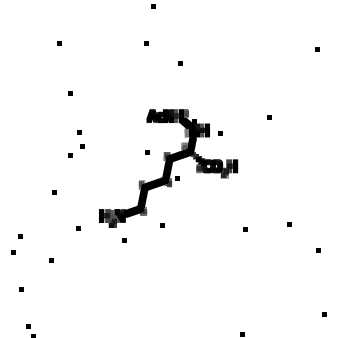 CC(=O)NN[C@@H](CCCCN)C(=O)O